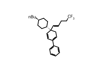 CCCC[C@H]1CC[C@H](C2(C=CCCC(F)(F)F)C=CC(c3ccccc3)=CC2)CC1